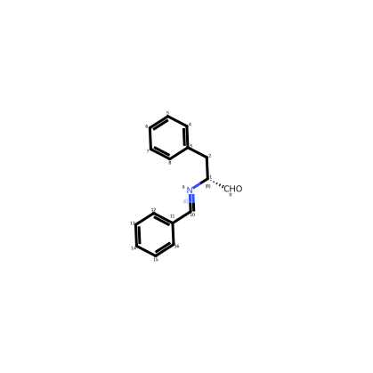 O=C[C@@H](Cc1ccccc1)/N=C/c1ccccc1